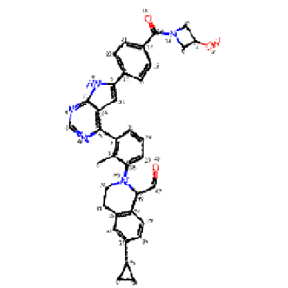 Cc1c(-c2ncnc3[nH]c(-c4ccc(C(=O)N5CC(O)C5)cc4)cc23)cccc1N1CCc2cc(C3CC3)ccc2C1C=O